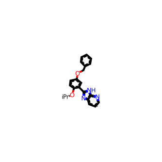 CC(C)Oc1ccc(OCc2ccccc2)cc1-c1nc2c[c]cnc2[nH]1